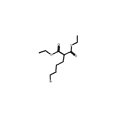 CCOC(=O)C(CCCCBr)C(=O)OCC